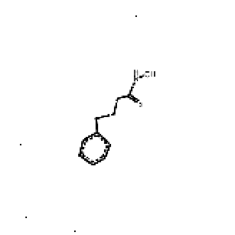 ONC(=S)CCCc1ccccc1